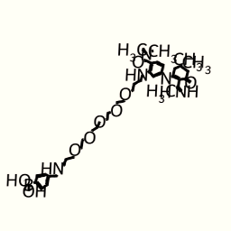 CC(=N)C1=C(Nc2ccc(C(=O)N(C)C)c(NCCCOCCOCCOCCOCCOCCCNCc3ccc(B(O)O)cc3)c2)CC(C)(C)CC1=O